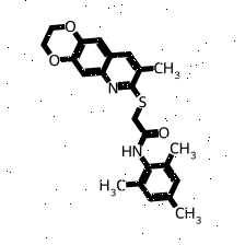 Cc1cc(C)c(NC(=O)CSc2nc3cc4c(cc3cc2C)OCCO4)c(C)c1